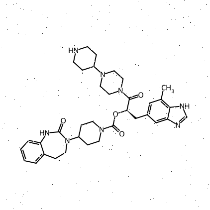 Cc1cc(C[C@@H](OC(=O)N2CCC(N3CCc4ccccc4NC3=O)CC2)C(=O)N2CCN(C3CCNCC3)CC2)cc2nc[nH]c12